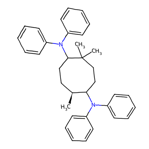 C[C@H]1CCC(N(c2ccccc2)c2ccccc2)C(C)(C)CCC1N(c1ccccc1)c1ccccc1